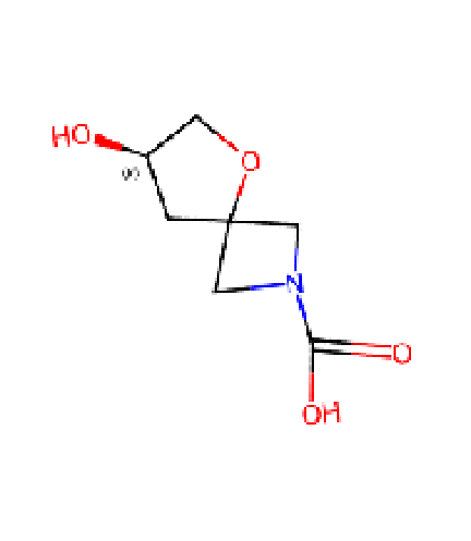 O=C(O)N1CC2(C[C@@H](O)CO2)C1